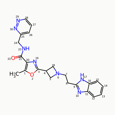 Cc1oc(C2CN(CCc3nc4ccccc4[nH]3)C2)nc1C(=O)NCc1cccnn1